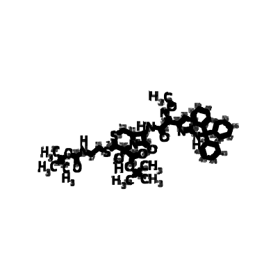 CON=C(C(=O)NC1C(=O)N2C1CSC(SCCNC(=O)OC(C)(C)C)C2(O)C(=O)OC(C)(C)C)c1csc(NC(c2ccccc2)(c2ccccc2)c2ccccc2)n1